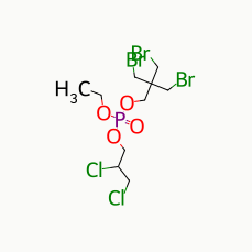 CCOP(=O)(OCC(Cl)CCl)OCC(CBr)(CBr)CBr